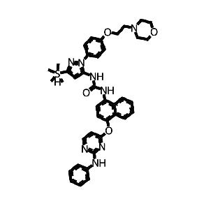 C[SH](C)(C)(C)c1cc(NC(=O)Nc2ccc(Oc3ccnc(Nc4ccccc4)n3)c3ccccc23)n(-c2ccc(OCCN3CCOCC3)cc2)n1